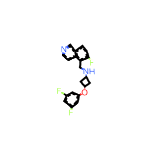 Fc1cc(F)cc(O[C@H]2C[C@H](NCc3c(F)ccc4cnccc34)C2)c1